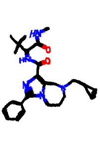 CNC(=O)C(NC(=O)c1nc(-c2ccccc2)n2c1CN(CC1CC1)CCC2)C(C)(C)C